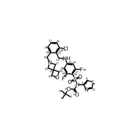 CC(C)(C)OC(=O)N(c1cscn1)S(=O)(=O)c1c(F)cc(NCc2c(Cl)cccc2CN2CC3(COC3)C2)cc1F